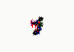 CN1CC2(CCN(CC(O)(c3cn(Cc4ccccc4)c4cc([N+](=O)[O-])ccc34)C(F)(F)F)CC2)Oc2ccccc21